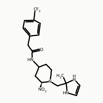 CC1(CN2CCC(NC(=O)Cc3ccc(C(F)(F)F)cc3)C[C@@H]2[N+](=O)[O-])NC=CN1